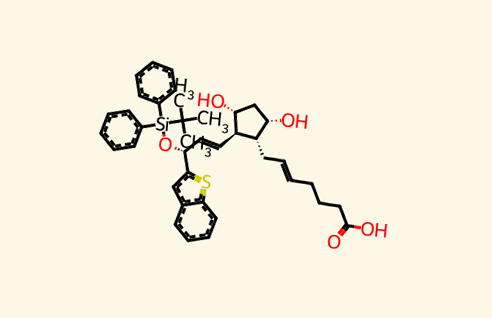 CC(C)(C)[Si](O[C@H](/C=C/[C@@H]1[C@@H](C/C=C/CCCC(=O)O)[C@@H](O)C[C@H]1O)c1cc2ccccc2s1)(c1ccccc1)c1ccccc1